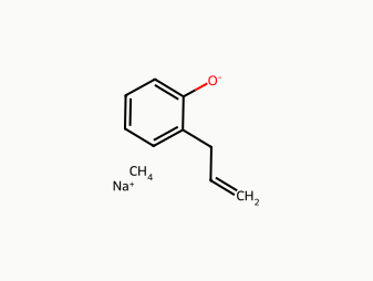 C.C=CCc1ccccc1[O-].[Na+]